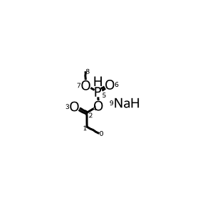 CCC(=O)O[PH](=O)OC.[NaH]